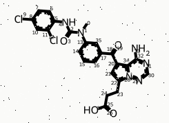 CN(C(=O)Nc1ccc(Cl)cc1Cl)c1cccc(C(=O)c2cc(CCC(=O)O)n3ncnc(N)c23)c1